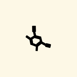 C#Cc1cc(C#C)c(C)cc1C